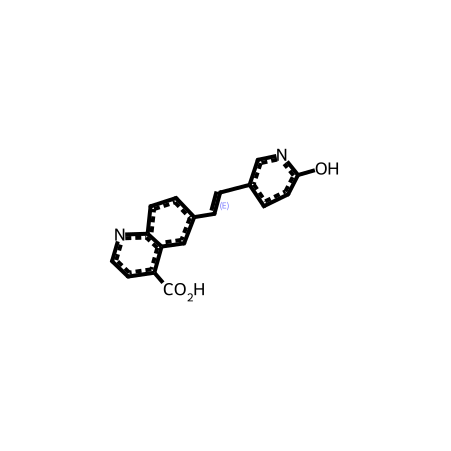 O=C(O)c1ccnc2ccc(/C=C/c3ccc(O)nc3)cc12